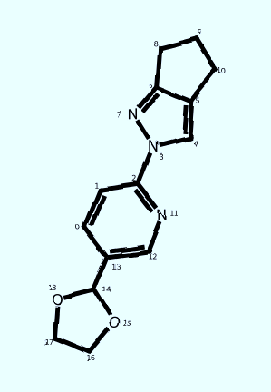 c1cc(-n2cc3c(n2)CCC3)ncc1C1OCCO1